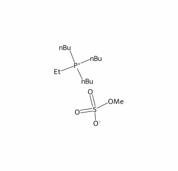 CCCC[P+](CC)(CCCC)CCCC.COS(=O)(=O)[O-]